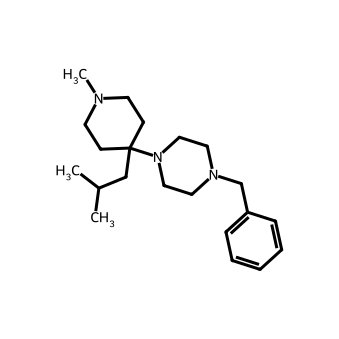 CC(C)CC1(N2CCN(Cc3ccccc3)CC2)CCN(C)CC1